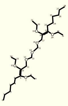 CCCCCCC(OCC)=C(COCOCOCC(OCC)=C(CCCCCC)OCC)OCC